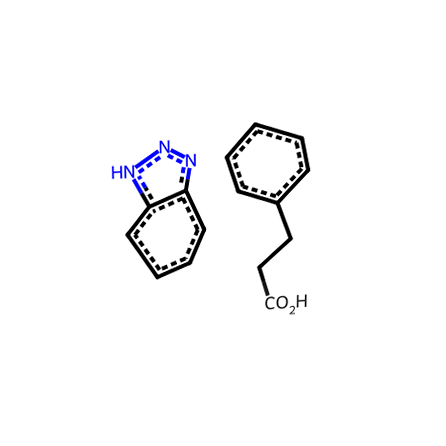 O=C(O)CCc1ccccc1.c1ccc2[nH]nnc2c1